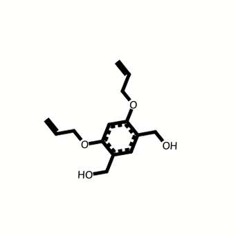 C=CCOc1cc(OCC=C)c(CO)cc1CO